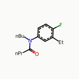 CCCCN(C(=O)CCC)c1ccc(F)c(CC)c1